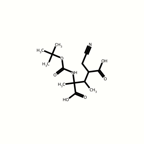 CC(C(CC#N)C(=O)O)C(C)(NC(=O)OC(C)(C)C)C(=O)O